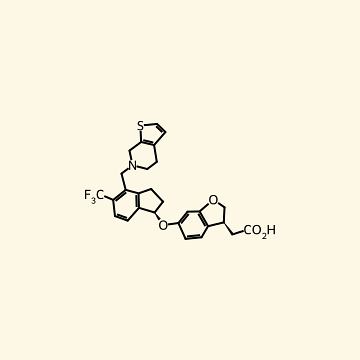 O=C(O)C[C@@H]1COc2cc(O[C@@H]3CCc4c3ccc(C(F)(F)F)c4CN3CCc4ccsc4C3)ccc21